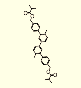 C=C(C)C(=O)OCc1ccc(-c2cc(-c3ccc(C)c(-c4ccc(COC(=O)C(=C)C)cc4)c3)ccc2C)cc1